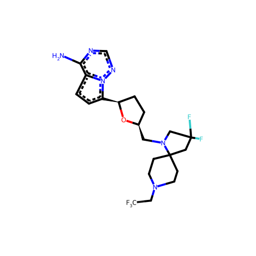 Nc1ncnn2c([C@H]3CC[C@@H](CN4CC(F)(F)CC45CCN(CC(F)(F)F)CC5)O3)ccc12